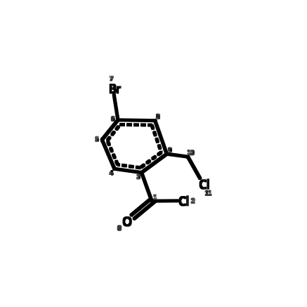 O=C(Cl)c1ccc(Br)cc1CCl